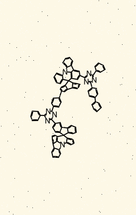 c1ccc(-c2ccc(-c3nc(-c4ccccc4)nc(-c4cc5c6c(c4)c4ccccc4n6-c4ccccc4C54c5ccccc5-c5cc(-c6ccc(-c7nc(-c8ccccc8)nc(-c8ccc9c(c8)-c8ccccc8C98c9ccccc9-n9c%10ccccc%10c%10cccc8c%109)n7)cc6)ccc54)n3)cc2)cc1